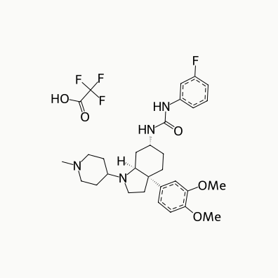 COc1ccc([C@@]23CC[C@@H](NC(=O)Nc4cccc(F)c4)C[C@@H]2N(C2CCN(C)CC2)CC3)cc1OC.O=C(O)C(F)(F)F